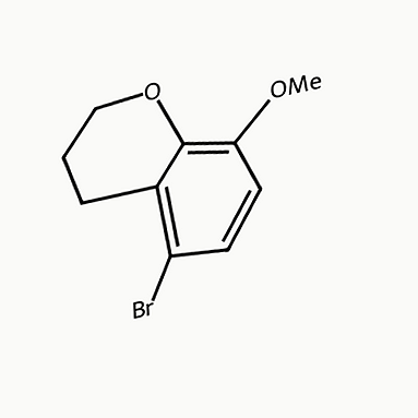 COc1ccc(Br)c2c1OCCC2